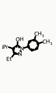 CCc1nn(-c2ccc(C)c(C)c2)c(O)c1C(C)C